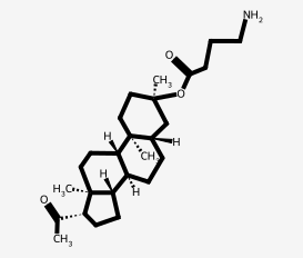 CC(=O)[C@H]1CC[C@H]2[C@@H]3CC[C@H]4C[C@](C)(OC(=O)CCCN)CC[C@]4(C)[C@H]3CC[C@]12C